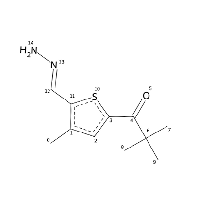 Cc1cc(C(=O)C(C)(C)C)sc1C=NN